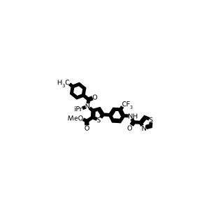 COC(=O)c1sc(-c2ccc(NC(=O)c3cscn3)c(C(F)(F)F)c2)cc1N(C(=O)C1CCC(C)CC1)C(C)C